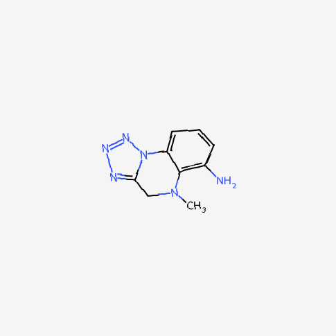 CN1Cc2nnnn2-c2cccc(N)c21